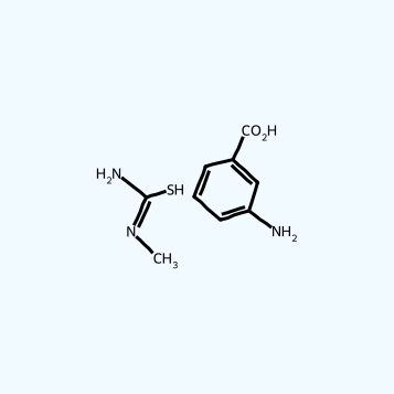 CN=C(N)S.Nc1cccc(C(=O)O)c1